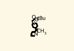 CN(c1ccccn1)C1CCN(CC(=O)OC(C)(C)C)CC1